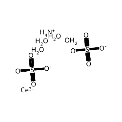 O.O.O.O.O=S(=O)([O-])[O-].O=S(=O)([O-])[O-].[Ce+3].[NH4+]